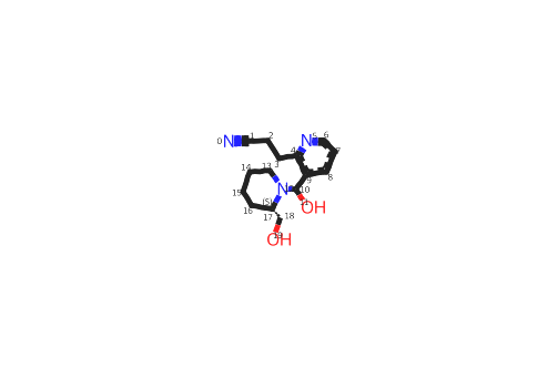 N#CCCc1ncccc1C(O)N1CCCC[C@H]1CO